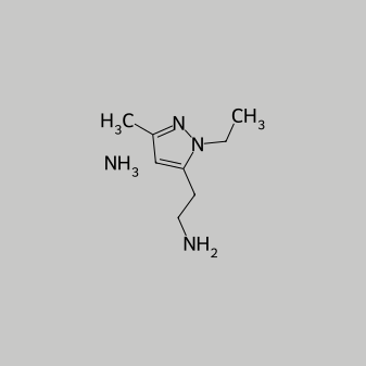 CCn1nc(C)cc1CCN.N